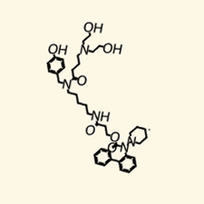 O=C(CCOC(=O)N(c1ccccc1-c1ccccc1)N1CC[CH]CC1)NCCCCCN(Cc1ccc(O)cc1)C(=O)CCCN(CCO)CCO